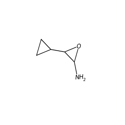 NC1OC1C1CC1